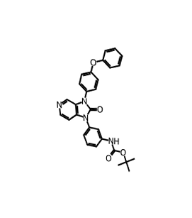 CC(C)(C)OC(=O)Nc1cccc(-n2c(=O)n(-c3ccc(Oc4ccccc4)cc3)c3cnccc32)c1